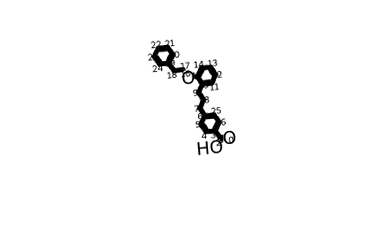 O=C(O)c1ccc(CCCc2ccccc2OCCc2ccccc2)cc1